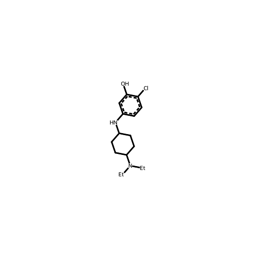 CCN(CC)C1CCC(Nc2ccc(Cl)c(O)c2)CC1